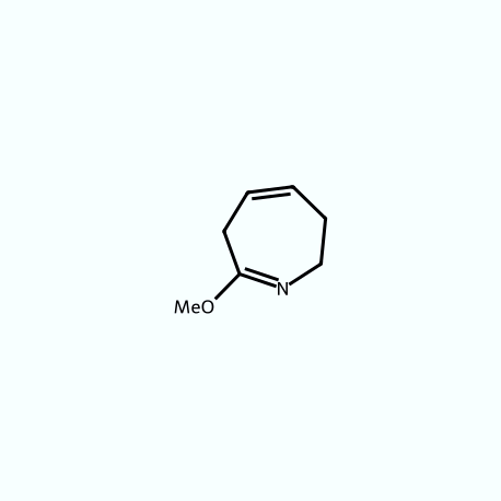 COC1=NCCC=CC1